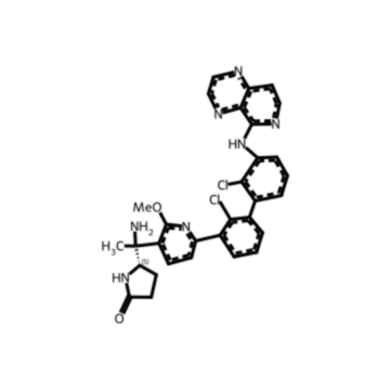 COc1nc(-c2cccc(-c3cccc(Nc4nccc5nccnc45)c3Cl)c2Cl)ccc1C(C)(N)[C@@H]1CCC(=O)N1